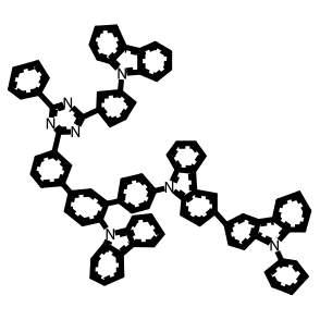 c1ccc(-c2nc(-c3cccc(-c4ccc(-n5c6ccccc6c6ccccc65)c(-c5ccc(-n6c7ccccc7c7cc(-c8ccc9c(c8)c8ccccc8n9-c8ccccc8)ccc76)cc5)c4)c3)nc(-c3cccc(-n4c5ccccc5c5ccccc54)c3)n2)cc1